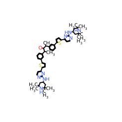 CC(C(=O)C(C)c1cccc(-c2ccc(-c3ccnc(NC4CC(C)(C)NC(C)(C)C4)n3)s2)c1)c1cccc(-c2ccc(-c3ccnc(NC4CC(C)(C)NC(C)(C)C4)n3)s2)c1